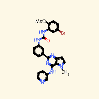 COc1ccc(Br)cc1NC(=O)Nc1cccc(-c2nc(Nc3cccnc3)c3c(ccn3C)n2)c1